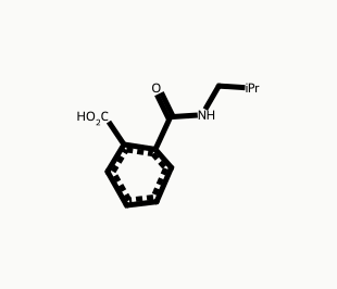 CC(C)CNC(=O)c1ccccc1C(=O)O